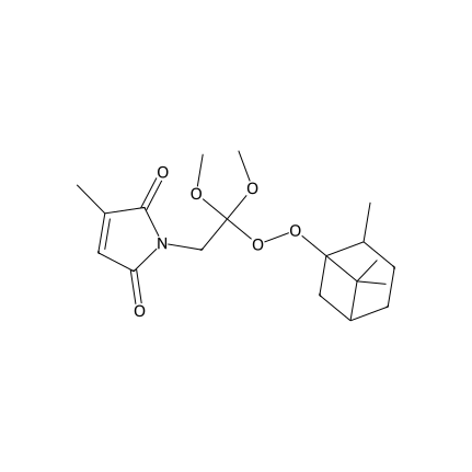 COC(CN1C(=O)C=C(C)C1=O)(OC)OOC12CC(CCC1C)C2(C)C